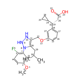 COc1ccc(F)c(N2NNC(COc3cccc([C@@H](CC(=O)O)C4CC4)c3)=C2CC(C)C)c1